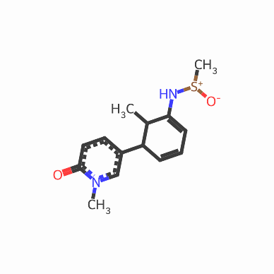 CC1C(N[S+](C)[O-])=CC=CC1c1ccc(=O)n(C)c1